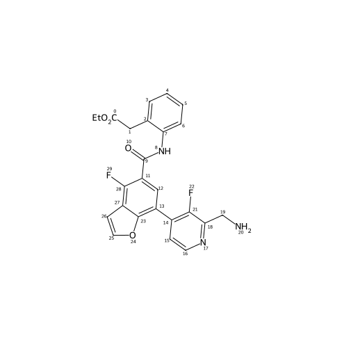 CCOC(=O)Cc1ccccc1NC(=O)c1cc(-c2ccnc(CN)c2F)c2occc2c1F